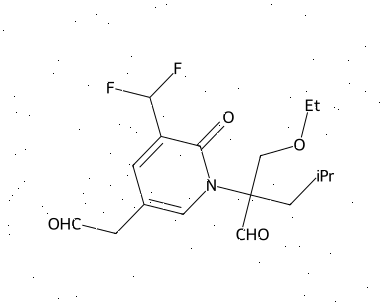 CCOCC(C=O)(CC(C)C)n1cc(CC=O)cc(C(F)F)c1=O